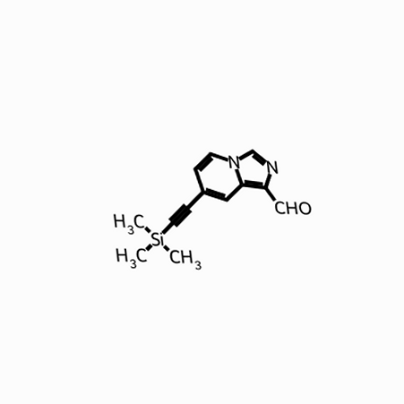 C[Si](C)(C)C#Cc1ccn2cnc(C=O)c2c1